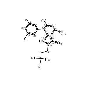 Cc1cc(-c2c(Cl)nc(N)[n+]3c(=O)n(CCC(F)(F)F)[nH]c23)cc(C)n1